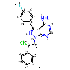 Nc1ncnc2c1c(-c1ccc(F)cc1)nn2CC(Cl)c1ccccc1